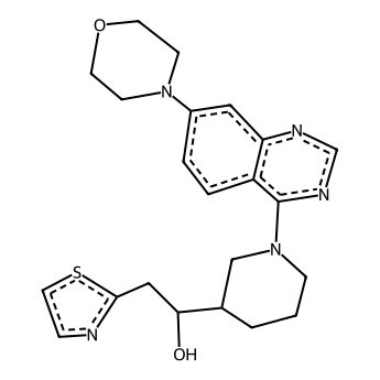 OC(Cc1nccs1)C1CCCN(c2ncnc3cc(N4CCOCC4)ccc23)C1